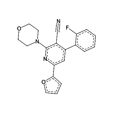 N#Cc1c(-c2ccccc2F)cc(-c2ccco2)nc1N1CCOCC1